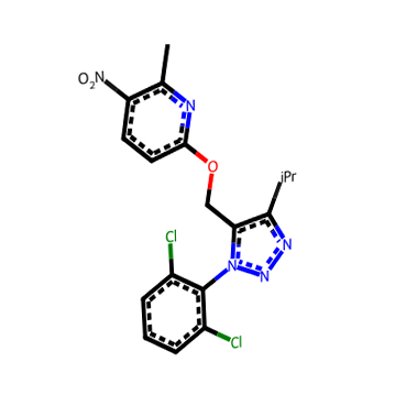 Cc1nc(OCc2c(C(C)C)nnn2-c2c(Cl)cccc2Cl)ccc1[N+](=O)[O-]